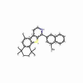 Cc1cc2c(c3sc4c(-c5cc(C(C)(C)C)c6ccccc6c5)nccc4c13)C(C)(C)CCC2(C)C